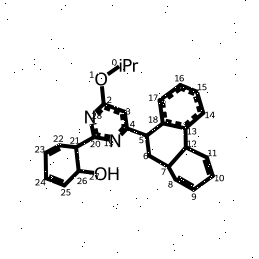 CC(C)Oc1cc(C2CC3C=CC=CC3c3ccccc32)nc(C2C=CC=CC2O)n1